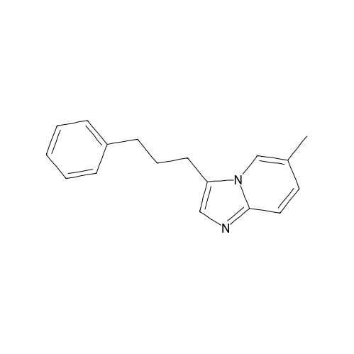 Cc1ccc2ncc(CCCc3ccccc3)n2c1